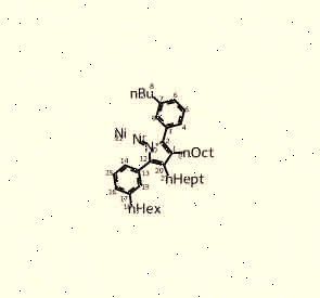 CCCCCCCCC1=C(c2cccc(CCCC)c2)[N+](=[N-])C(c2cccc(CCCCCC)c2)=C1CCCCCCC.[Ni]